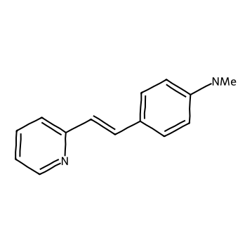 CNc1ccc(/C=C/c2ccccn2)cc1